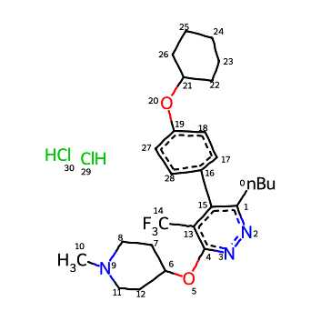 CCCCc1nnc(OC2CCN(C)CC2)c(C(F)(F)F)c1-c1ccc(OC2CCCCC2)cc1.Cl.Cl